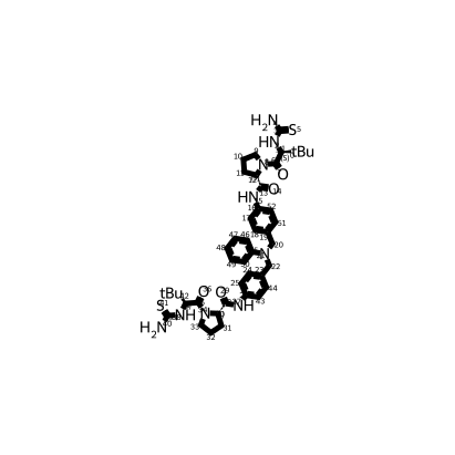 CC(C)(C)[C@H](NC(N)=S)C(=O)N1CCC[C@H]1C(=O)Nc1ccc(CN(Cc2ccc(NC(=O)[C@@H]3CCCN3C(=O)[C@@H](NC(N)=S)C(C)(C)C)cc2)c2ccccc2)cc1